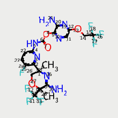 C[C@@]1(c2nc(NC(=O)Oc3ncc(OCC(F)(F)F)nc3N)ccc2F)CO[C@@](C)(C(F)(F)F)C(N)=N1